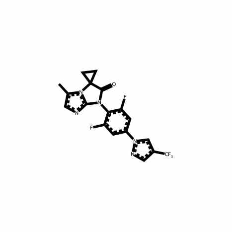 Cc1cnc2n1C1(CC1)C(=O)N2c1c(F)cc(-n2cc(C(F)(F)F)cn2)cc1F